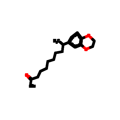 CCCCC(=O)CCCCCCCC(C)c1ccc2c(c1)OCCO2